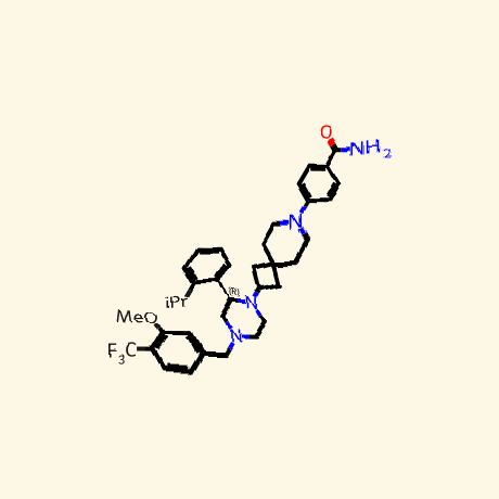 COc1cc(CN2CCN(C3CC4(CCN(c5ccc(C(N)=O)cc5)CC4)C3)[C@H](c3ccccc3C(C)C)C2)ccc1C(F)(F)F